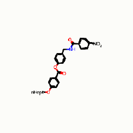 CCCCCCCOc1ccc(C(=O)Oc2ccc(CNC(=O)c3ccc([N+](=O)[O-])cc3)cc2)cc1